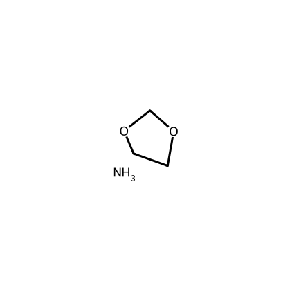 C1COCO1.N